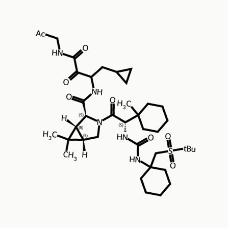 CC(=O)CNC(=O)C(=O)C(CC1CC1)NC(=O)[C@@H]1[C@@H]2[C@H](CN1C(=O)[C@@H](NC(=O)NC1(CS(=O)(=O)C(C)(C)C)CCCCC1)C1(C)CCCCC1)C2(C)C